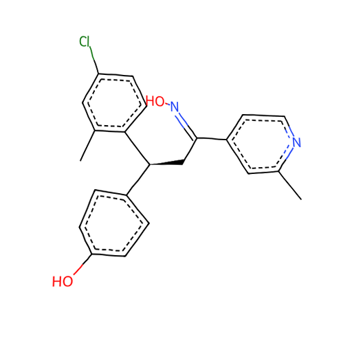 Cc1cc(/C(C[C@@H](c2ccc(O)cc2)c2ccc(Cl)cc2C)=N/O)ccn1